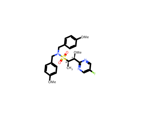 COc1ccc(CN(Cc2ccc(OC)cc2)S(=O)(=O)[C@H](C)[C@@H](OC)c2ncc(F)cn2)cc1